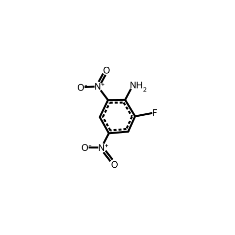 Nc1c(F)cc([N+](=O)[O-])cc1[N+](=O)[O-]